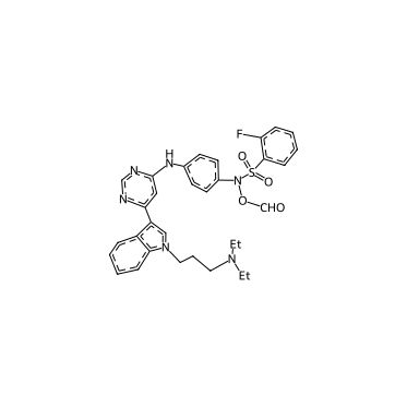 CCN(CC)CCCn1cc(-c2cc(Nc3ccc(N(OC=O)S(=O)(=O)c4ccccc4F)cc3)ncn2)c2ccccc21